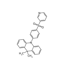 CC1(C)c2ccccc2N(c2ccc(S(=O)(=O)c3cccnc3)cc2)c2ccccc21